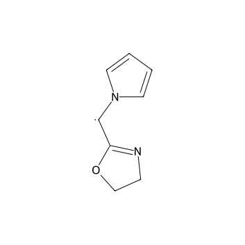 [CH](C1=NCCO1)n1cccc1